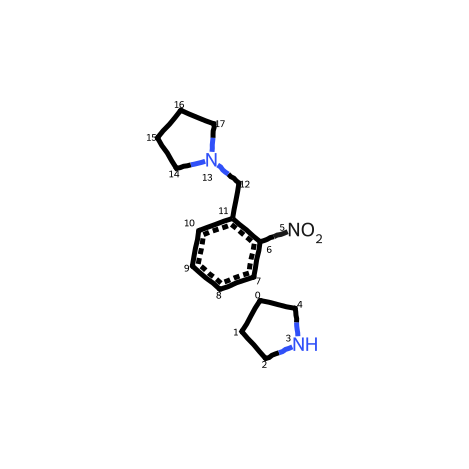 C1CCNC1.O=[N+]([O-])c1ccccc1CN1CCCC1